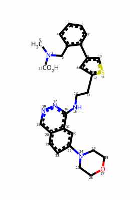 CN(Cc1ccccc1-c1csc(CCNc2nncc3ccc(N4CCOCC4)cc23)c1)C(=O)O